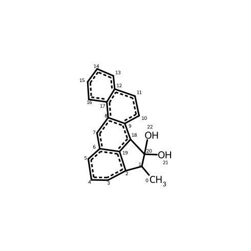 CC1c2cccc3cc4c(ccc5ccccc54)c(c23)C1(O)O